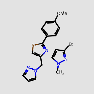 CCc1ccn(C)n1.COc1ccc(-c2nc(Cn3cccn3)cs2)cc1